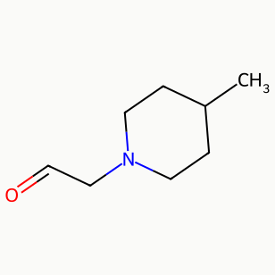 CC1CCN(CC=O)CC1